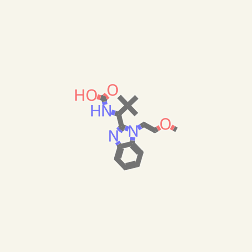 COCCn1c(C(NC(=O)O)C(C)(C)C)nc2ccccc21